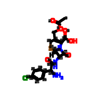 CC(=O)OCC1=C(C(=O)O)N2C(=O)C(NC(=O)C(N)c3ccc(Cl)cc3)[C@@H]2SC1